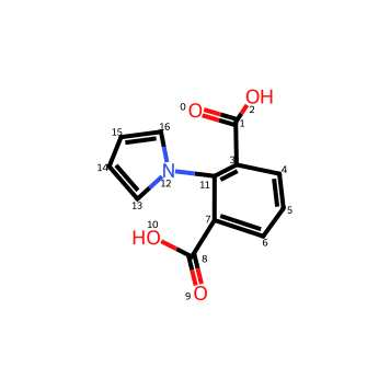 O=C(O)c1cccc(C(=O)O)c1-n1cccc1